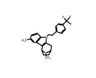 Cc1ccc2c(c1)c1c(n2CCc2ccc(C(F)(F)F)cc2)CC2CCC1N2C